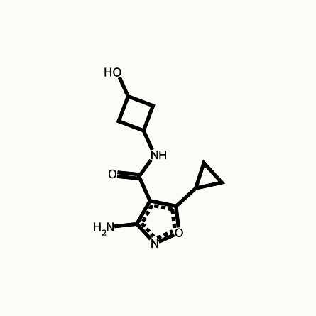 Nc1noc(C2CC2)c1C(=O)NC1CC(O)C1